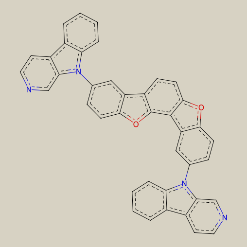 c1ccc2c(c1)c1ccncc1n2-c1ccc2oc3c(ccc4oc5ccc(-n6c7ccccc7c7ccncc76)cc5c43)c2c1